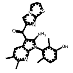 Cc1cc2c(C(=O)c3cn4ccsc4n3)c(N)n(-c3c(C)ccc(O)c3C)c2nc1C